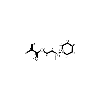 C=C(C)C(=O)OCCNN1CCCCC1